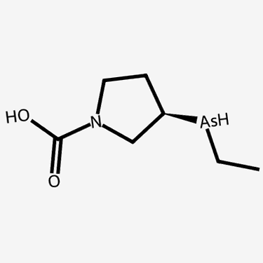 CC[AsH][C@@H]1CCN(C(=O)O)C1